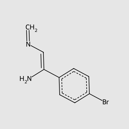 C=N/C=C(\N)c1ccc(Br)cc1